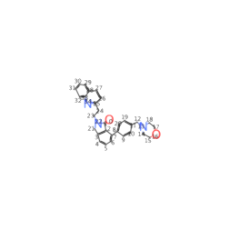 O=C1c2c(cccc2-c2ccc(CN3CCOCC3)cc2)CN1CCc1ccc2ccccc2n1